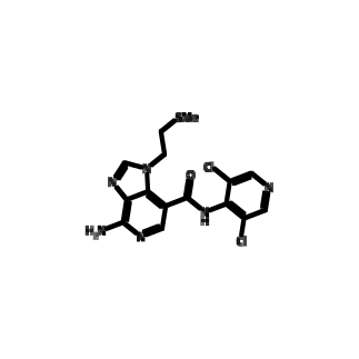 CSCCn1cnc2c(N)ncc(C(=O)Nc3c(Cl)cncc3Cl)c21